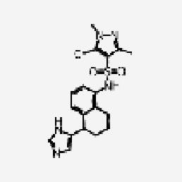 Cc1nn(C)c(Cl)c1S(=O)(=O)Nc1cccc2c1CCCC2c1cnc[nH]1